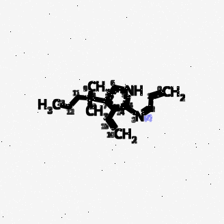 C=C/C=N\c1[nH]cc(C(C)(C)CCC)c1C=C